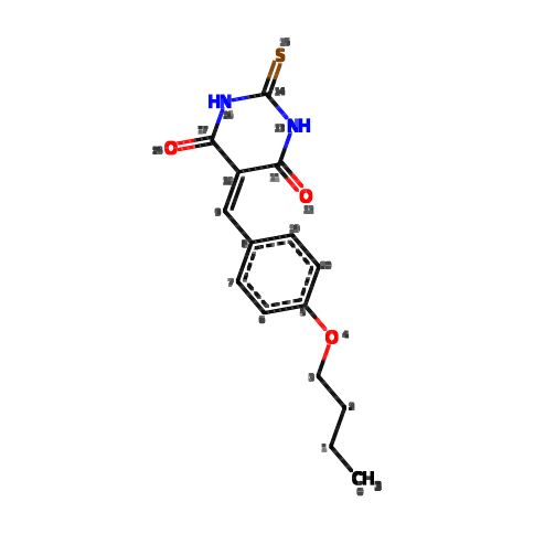 CCCCOc1ccc(C=C2C(=O)NC(=S)NC2=O)cc1